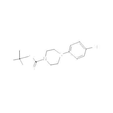 C[C@@H]1CN(C(=O)OC(C)(C)C)CCN1c1ccc(O)cc1